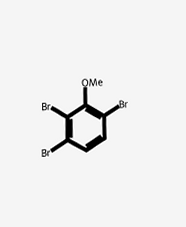 COc1c(Br)ccc(Br)c1Br